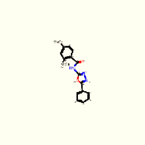 COc1ccc(C(=O)Nc2nnc(-c3ccccc3)o2)c(OC)c1